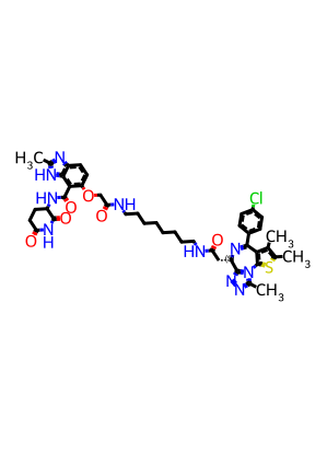 Cc1nc2ccc(OCC(=O)NCCCCCCCCNC(=O)C[C@@H]3N=C(c4ccc(Cl)cc4)c4c(sc(C)c4C)-n4c(C)nnc43)c(C(=O)NC3CCC(=O)NC3=O)c2[nH]1